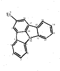 CCc1cc2c3ccccc3n3c4ccccc4c(c1)c23